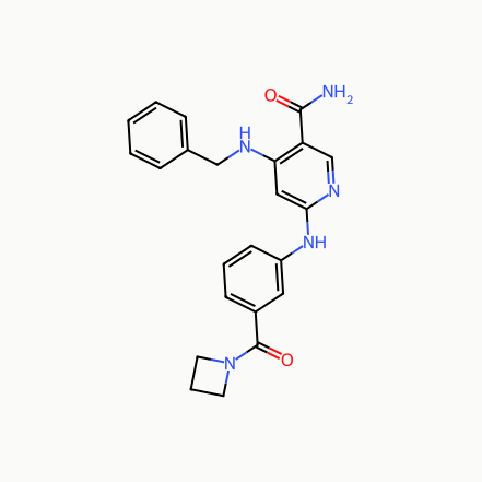 NC(=O)c1cnc(Nc2cccc(C(=O)N3CCC3)c2)cc1NCc1ccccc1